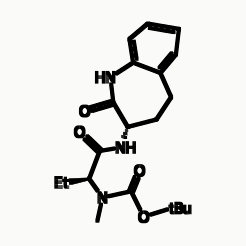 CC[C@@H](C(=O)N[C@H]1CCc2ccccc2NC1=O)N(C)C(=O)OC(C)(C)C